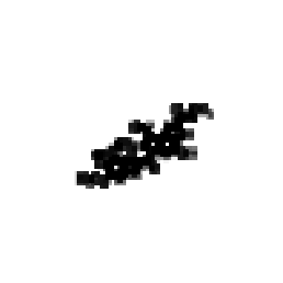 COC(=O)c1cc2c3c(cc(O)c2[nH]1)N(C(=O)C1Cc2cc(OC)c(OC)c(OC)c2N1)CC3CCl